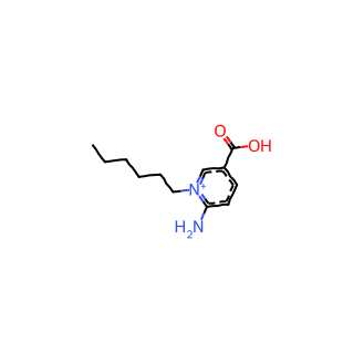 CCCCCC[n+]1cc(C(=O)O)ccc1N